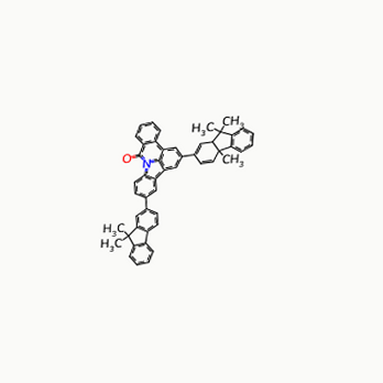 CC1(C)c2ccccc2-c2ccc(-c3ccc4c(c3)c3cc(C5=CC6C(C)(C)c7ccccc7C6(C)C=C5)cc5c6ccccc6c(=O)n4c53)cc21